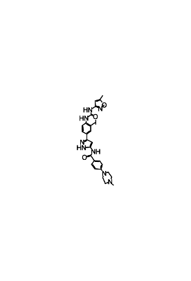 Cc1cc(NC(=O)Nc2ccc(-c3cc(NC(=O)c4ccc(N5CCN(C)CC5)cc4)[nH]n3)cc2I)no1